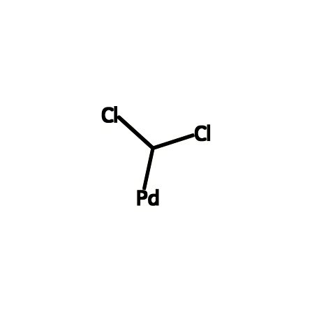 Cl[CH](Cl)[Pd]